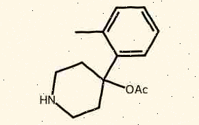 CC(=O)OC1(c2ccccc2C)CCNCC1